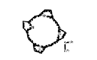 C1=Cc2cc3ccc(cc4nc(cc5ccc(cc1n2)[nH]5)C=C4)[nH]3.CCCSCCC